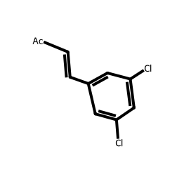 CC(=O)C=Cc1cc(Cl)cc(Cl)c1